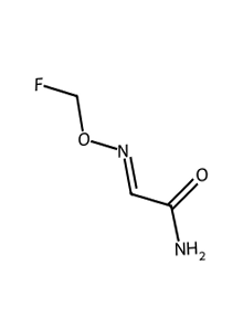 NC(=O)C=NOCF